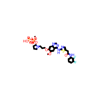 COc1cc2c(Nc3ncc(CC(=O)Nc4cccc(F)c4F)s3)ncnc2cc1OCCCN1CCC[C@@H]1OP(=O)(OC)OP(=O)(O)O